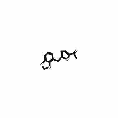 CC(=O)c1ccc(Cc2cccc3c2OCO3)o1